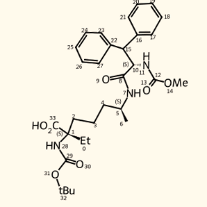 CC[C@@](CCC[C@H](C)NC(=O)[C@@H](NC(=O)OC)C(c1ccccc1)c1ccccc1)(NC(=O)OC(C)(C)C)C(=O)O